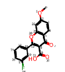 COc1ccc2c(=O)c(C(=O)O)c(-c3cccc(F)c3)oc2c1